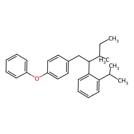 CCC(C)[C](Cc1ccc(Oc2ccccc2)cc1)c1ccccc1C(C)C